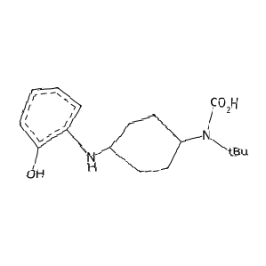 CC(C)(C)N(C(=O)O)C1CCC(Nc2ccccc2O)CC1